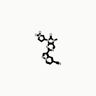 Cn1c(=O)n(C2CCS(=O)(=O)C2)c2nc(-c3cnn4ccc(C#N)cc34)ncc21